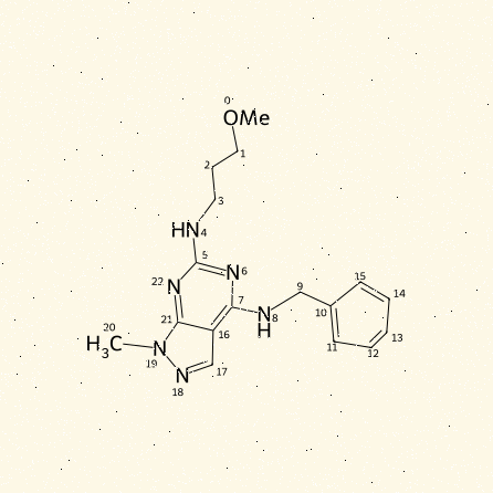 COCCCNc1nc(NCc2ccccc2)c2cnn(C)c2n1